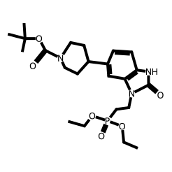 CCOP(=O)(CCn1c(=O)[nH]c2ccc(C3CCN(C(=O)OC(C)(C)C)CC3)cc21)OCC